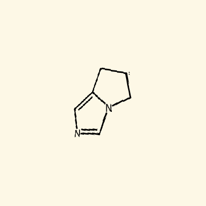 [C]1Cc2cncn2C1